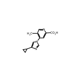 Cc1cnc(C(=O)O)cc1-n1cnc(C2CC2)c1